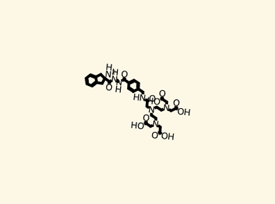 NC1(C(=O)NNC(=O)c2ccc(CNC(=O)CN(CCN(CC(=O)O)CC(=O)O)CCN(CC(=O)O)CC(=O)O)cc2)Cc2ccccc2C1